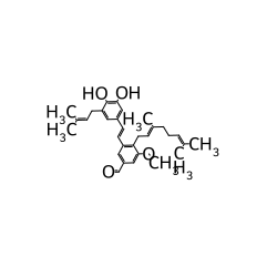 COc1cc(C=O)cc(/C=C/c2cc(O)c(O)c(CC=C(C)C)c2)c1C/C=C(\C)CCC=C(C)C